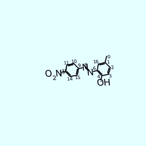 Cc1ccc(O)c(N=Nc2ccc([N+](=O)[O-])cc2)c1